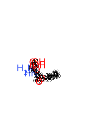 CC(=O)c1cc(NC(=O)[C@@](C)(N)COP(=O)(O)O)ccc1OCCc1ccc(-c2ccccc2)cc1